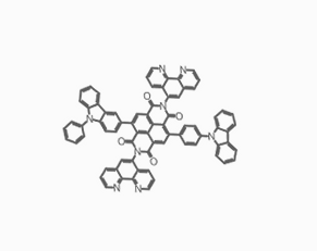 O=C1c2cc(-c3ccc4c(c3)c3ccccc3n4-c3ccccc3)c3c4c(cc(-c5ccc(-n6c7ccccc7c7ccccc76)cc5)c(c24)C(=O)N1c1cc2cccnc2c2ncccc12)C(=O)N(c1cc2cccnc2c2ncccc12)C3=O